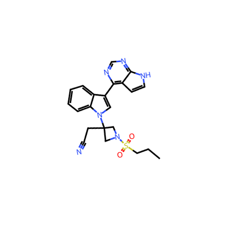 CCCS(=O)(=O)N1CC(CC#N)(n2cc(-c3ncnc4[nH]ccc34)c3ccccc32)C1